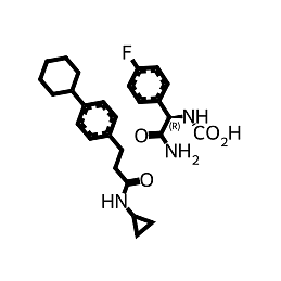 NC(=O)[C@H](NC(=O)O)c1ccc(F)cc1.O=C(CCc1ccc(C2CCCCC2)cc1)NC1CC1